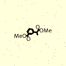 COC(=O)c1cccc(C(C)C(=O)OC)c1